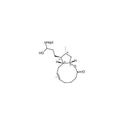 CCCCCCCC(O)CC[C@@H]1[C@H]2C/C=C\CCCC(=O)O[C@H]2C[C@H]1C